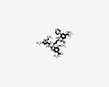 CCn1nc(C)cc1C(=O)Nc1nc2cc(C(N)=O)cc(OC)c2n1C/C=C/CNc1c(N2CCOCC2)cc(C(N)=O)cc1[N+](=O)[O-]